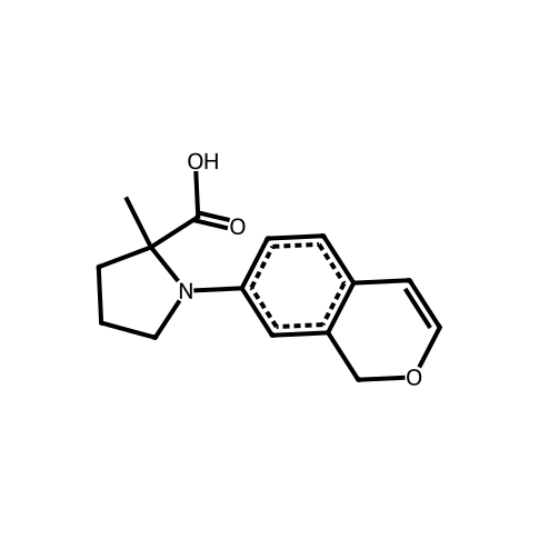 CC1(C(=O)O)CCCN1c1ccc2c(c1)COC=C2